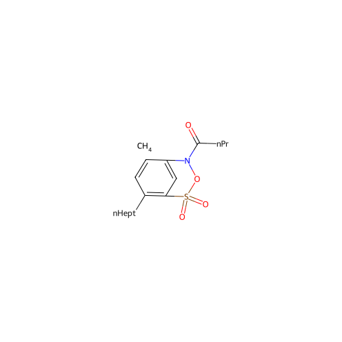 C.CCCCCCCc1ccc2cc1S(=O)(=O)ON2C(=O)CCC